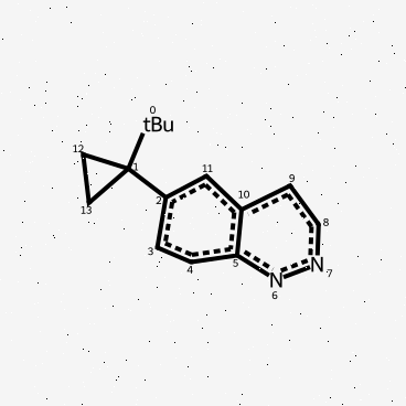 CC(C)(C)C1(c2ccc3nnccc3c2)CC1